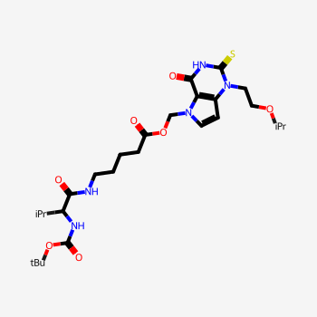 CC(C)OCCn1c(=S)[nH]c(=O)c2c1ccn2COC(=O)CCCCNC(=O)C(NC(=O)OC(C)(C)C)C(C)C